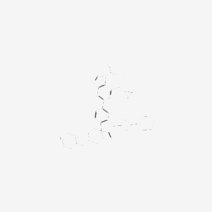 CC(C)n1cnc2cc(-c3ccc4c(c3)N(C3CC(N5CCCCC5)C3)C(=O)C43CCN(SC4CCNCC4)CC3)nc(NC3CC3)c21